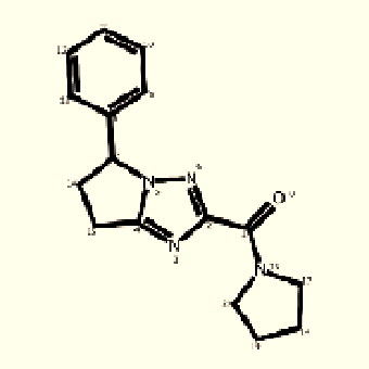 O=C(c1nc2n(n1)C(c1ccccc1)CC2)N1CCCC1